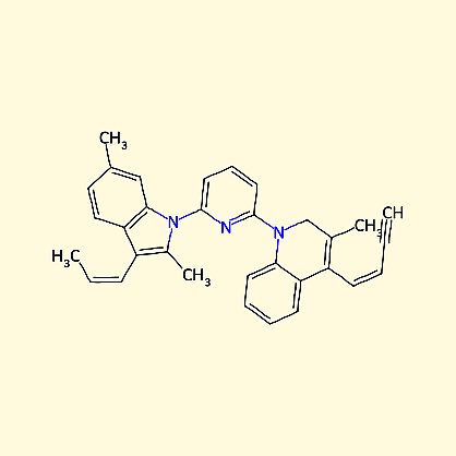 C#C/C=C\C1=C(C)CN(c2cccc(-n3c(C)c(/C=C\C)c4ccc(C)cc43)n2)c2ccccc21